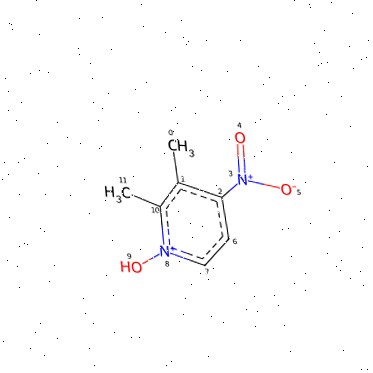 Cc1c([N+](=O)[O-])cc[n+](O)c1C